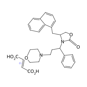 O=C(O)/C=C/C(=O)O.O=C1OCC(Cc2cccc3ccccc23)N1C(CCN1CCOCC1)c1ccccc1